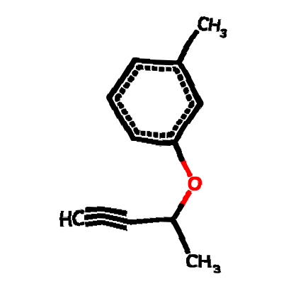 C#CC(C)Oc1cccc(C)c1